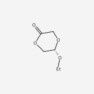 CCO[C@@H]1COC(=O)CO1